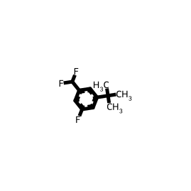 CC(C)(C)c1cc(F)cc(C(F)F)c1